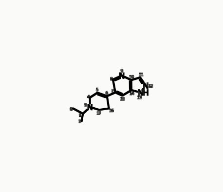 CC(C)N1CC=C(c2cnc3cn[nH]c3c2)CC1